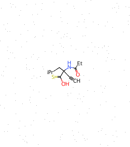 C#CC(CC(C)C)(NC(=O)CC)C(O)=S